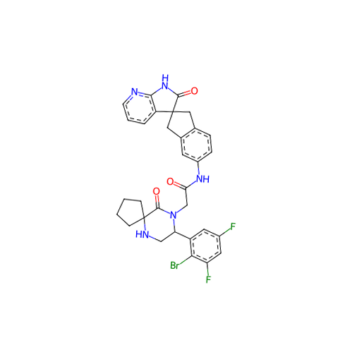 O=C(CN1C(=O)C2(CCCC2)NCC1c1cc(F)cc(F)c1Br)Nc1ccc2c(c1)CC1(C2)C(=O)Nc2ncccc21